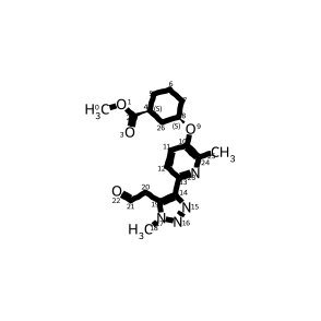 COC(=O)[C@H]1CCC[C@H](Oc2ccc(-c3nnn(C)c3CC=O)nc2C)C1